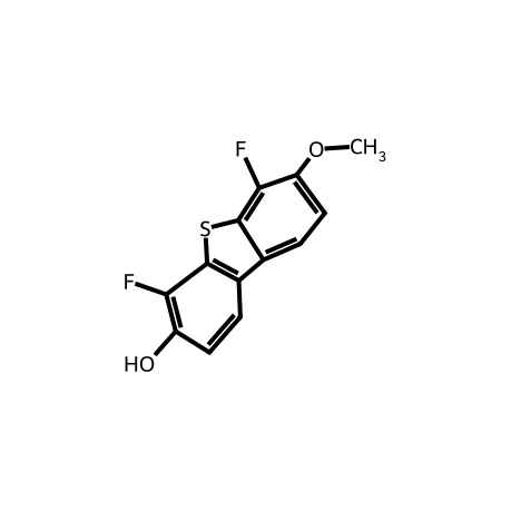 COc1ccc2c(sc3c(F)c(O)ccc32)c1F